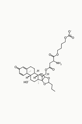 CCCC1O[C@@H]2C[C@H]3[C@@H]4CCC5=CC(=O)C=C[C@]5(C)[C@H]4[C@@H](O)C[C@]3(C)C2(C(=O)COC(=O)CC(N)C(=O)OCCCCO[N+](=O)[O-])O1